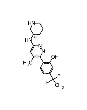 Cc1cc(N[C@@H]2CCCNC2)nnc1-c1ccc(C(C)(F)F)cc1O